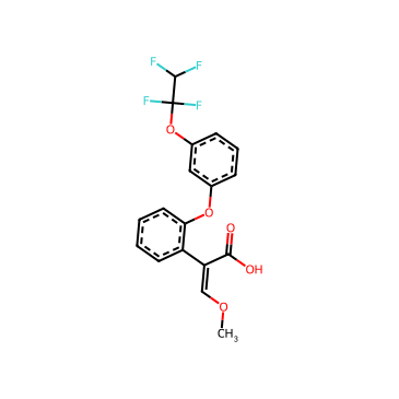 COC=C(C(=O)O)c1ccccc1Oc1cccc(OC(F)(F)C(F)F)c1